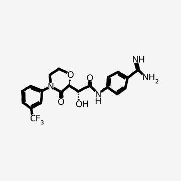 N=C(N)c1ccc(NC(=O)[C@H](O)[C@H]2OCCN(c3cccc(C(F)(F)F)c3)C2=O)cc1